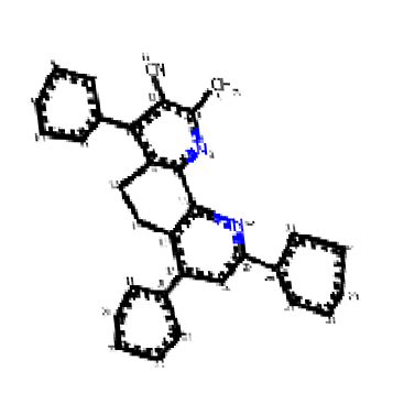 Cc1nc2c(c(-c3ccccc3)c1C#N)CCc1c(-c3ccccc3)cc(-c3ccccc3)nc1-2